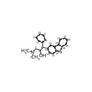 CN(C)CC(O)C(c1ccccc1)c1ccc2sc3ccccc3c2c1